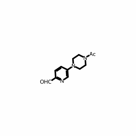 CC(=O)N1CCN(c2ccc(C=O)nc2)CC1